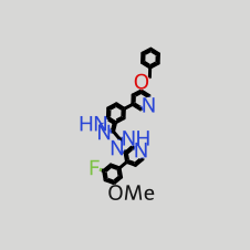 COc1cc(F)cc(-c2ccnc3[nH]c(-c4n[nH]c5ccc(-c6cncc(OCc7ccccc7)c6)cc45)nc23)c1